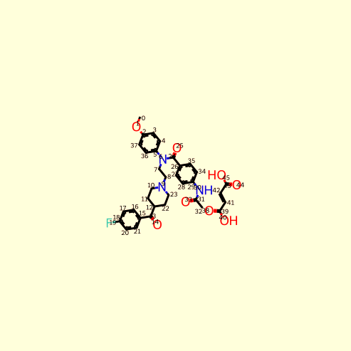 COc1ccc(N(CCN2CCC(C(=O)c3ccc(F)cc3)CC2)C(=O)c2ccc(NC(C)=O)cc2)cc1.O=C(O)C=CC(=O)O